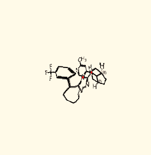 Cc1cc(N2C[C@H]3CC[C@H](C2)C3Nc2nc3n(n2)CCCCC3c2cccc(C(F)(F)F)c2)ncn1